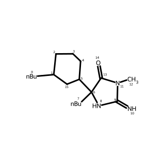 CCCCC1CCCC(C2(CCCC)NC(=N)N(C)C2=O)C1